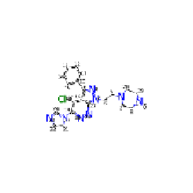 CN1CCN(CCn2nc(-c3ccccc3)c3c(Cl)c(-n4ccnc4)nnc32)CC1